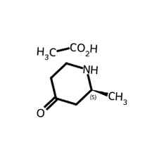 CC(=O)O.C[C@H]1CC(=O)CCN1